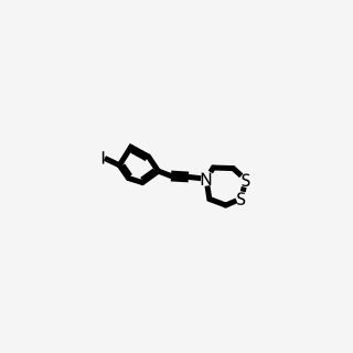 Ic1ccc(C#CN2CCSSCC2)cc1